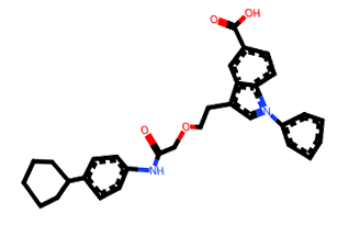 O=C(COCCc1cn(-c2ccccc2)c2ccc(C(=O)O)cc12)Nc1ccc(C2CCCCC2)cc1